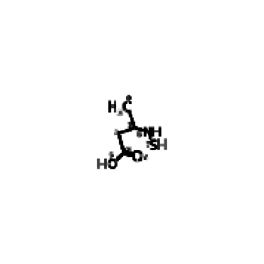 CC(CC(=O)O)NS